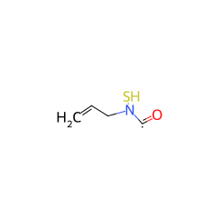 C=CCN(S)[C]=O